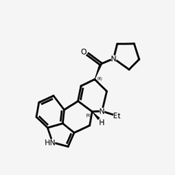 CCN1C[C@H](C(=O)N2CCCC2)C=C2c3cccc4[nH]cc(c34)C[C@H]21